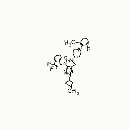 Cc1cccc(F)c1N1CCC(N2Cc3cn(C4CN(C)C4)nc3N(Cc3ccccc3C(F)(F)F)C2=O)CC1